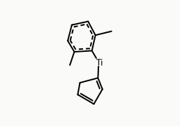 Cc1cccc(C)[c]1[Ti][C]1=CC=CC1